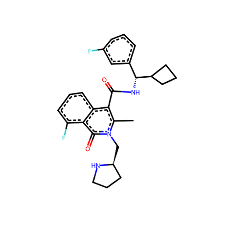 Cc1c(C(=O)N[C@H](c2cccc(F)c2)C2CCC2)c2cccc(F)c2c(=O)n1C[C@H]1CCCN1